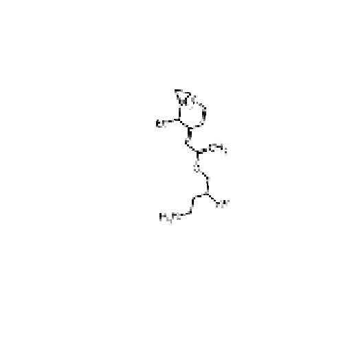 C=C(/C=C(\C=C/C)C(CC)C1CC1)OCC(CCC)CCN